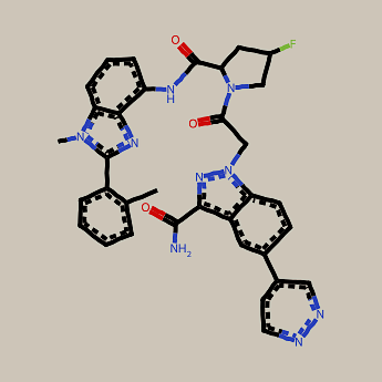 Cc1ccccc1-c1nc2c(NC(=O)C3CC(F)CN3C(=O)Cn3nc(C(N)=O)c4cc(-c5ccnnc5)ccc43)cccc2n1C